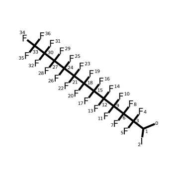 CC(I)C(F)(F)C(F)(F)C(F)(F)C(F)(F)C(F)(F)C(F)(F)C(F)(F)C(F)(F)C(F)(F)C(F)(F)C(F)(F)F